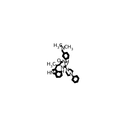 C[C@H](c1c[nH]c2ccccc12)[C@@H](NC(=O)N1CCN(c2ccccc2)CC1)C(=O)Nc1cccc(CN(C)C)c1